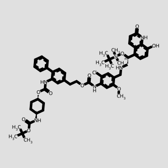 COc1cc(NC(=O)OCCc2ccc(-c3ccccc3)c(NC(=O)O[C@H]3CC[C@H](NC(=O)OC(C)(C)C)CC3)c2)c(Cl)cc1CNC[C@H](O[Si](C)(C)C(C)(C)C)c1ccc(O)c2[nH]c(=O)ccc12